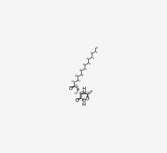 CCCCCCCCCCCCCC(=O)SC[C@H](NC(C)=O)C(=O)O